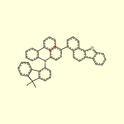 CC1(C)c2ccccc2-c2c(N(c3ccc(-c4cccc5c4ccc4c6ccccc6oc54)cc3)c3ccccc3-c3ccccc3)cccc21